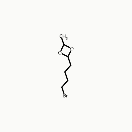 CC1OC(CCCCBr)O1